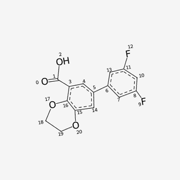 O=C(O)c1cc(-c2cc(F)cc(F)c2)cc2c1OCCO2